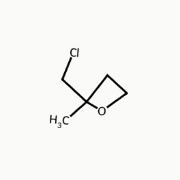 CC1(CCl)CCO1